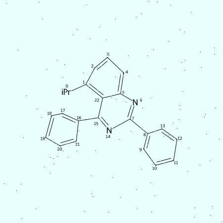 CC(C)c1cccc2nc(-c3ccccc3)nc(-c3ccccc3)c12